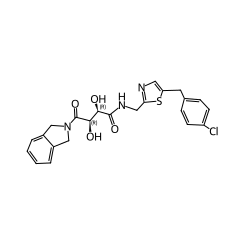 O=C(NCc1ncc(Cc2ccc(Cl)cc2)s1)[C@H](O)[C@@H](O)C(=O)N1Cc2ccccc2C1